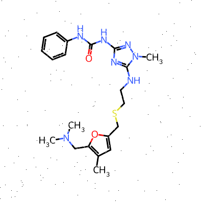 Cc1cc(CSCCNc2nc(NC(=O)Nc3ccccc3)nn2C)oc1CN(C)C